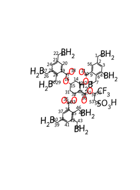 BCc1cc(B)c(CB)c(C(=O)OC2CC(OC(=O)c3cc(CB)cc(CB)c3CB)CC(OC(=O)c3cc(CB)cc(CB)c3CB)C2C(=O)OC(CS(=O)(=O)O)C(F)(F)F)c1